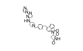 O=C1CCC(N2C(=O)c3cccc4c(Cc5ccc(CN6CCC(Nc7ccnc(-n8ccnc8)n7)CC6)cc5)ccc2c34)C(=O)N1